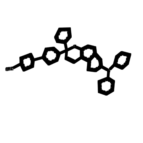 O=Cc1ccc(-c2ccc(C3(c4ccccc4)C=Cc4c(ccc5cc(N(c6ccccc6)c6ccccc6)ccc45)O3)cc2)cc1